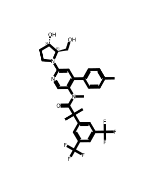 Cc1ccc(-c2cc(N3CC[C@H](O)[C@H]3CO)ncc2N(C)C(=O)C(C)(C)c2cc(C(F)(F)F)cc(C(F)(F)F)c2)cc1